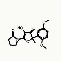 COc1ccc(OC)c(C2(C)OC(N3CCCC3=O)=C(O)C2=O)c1